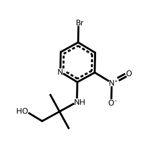 CC(C)(CO)Nc1ncc(Br)cc1[N+](=O)[O-]